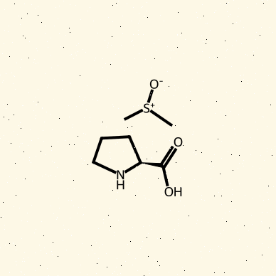 C[S+](C)[O-].O=C(O)[C@@H]1CCCN1